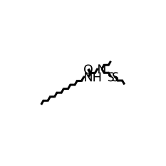 CCCCCCCCCCCCCCNC(=O)CCN(CCC)CCSSCCC